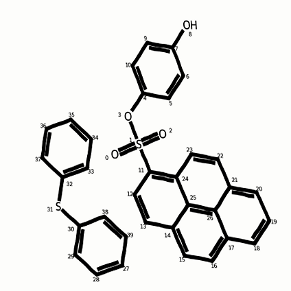 O=S(=O)(Oc1ccc(O)cc1)c1ccc2ccc3cccc4ccc1c2c34.c1ccc(Sc2ccccc2)cc1